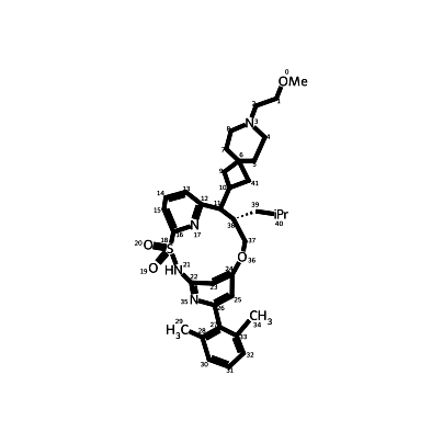 COCCN1CCC2(CC1)CC(C1c3cccc(n3)S(=O)(=O)Nc3cc(cc(-c4c(C)cccc4C)n3)OC[C@H]1CC(C)C)C2